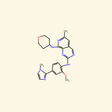 COc1cc(-c2nccn2C)ccc1Nc1ncc2cc(C)nc(NC3CCOCC3)c2n1